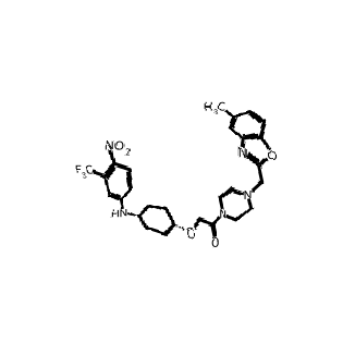 Cc1ccc2oc(CN3CCN(C(=O)CO[C@H]4CC[C@H](Nc5ccc([N+](=O)[O-])c(C(F)(F)F)c5)CC4)CC3)nc2c1